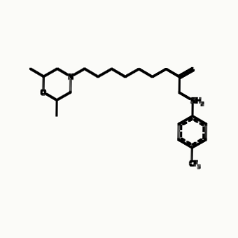 C=C(CCCCCCCN1CC(C)OC(C)C1)C[SiH2]c1ccc(C(F)(F)F)cc1